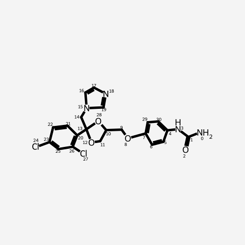 NC(=O)Nc1ccc(OCC2COC(Cn3ccnc3)(c3ccc(Cl)cc3Cl)O2)cc1